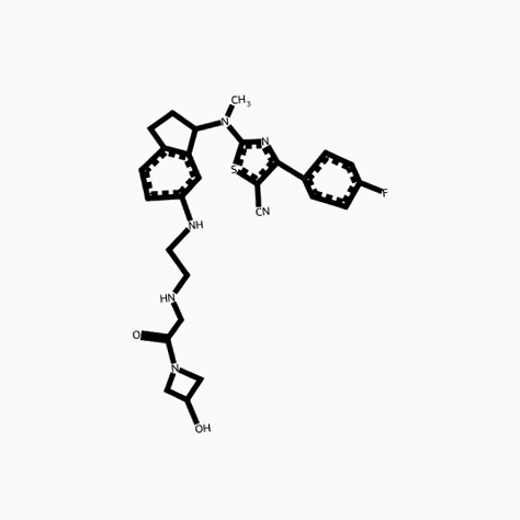 CN(c1nc(-c2ccc(F)cc2)c(C#N)s1)C1CCc2ccc(NCCNCC(=O)N3CC(O)C3)cc21